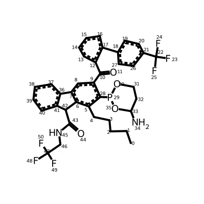 CCCCCc1c2c(cc(C(=O)c3ccccc3-c3ccc(C(F)(F)F)cc3)c1P1OCCC(N)O1)-c1ccccc1C2C(=O)NCC(F)(F)F